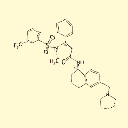 CN([C@H](CC(=O)N[C@@H]1CCCc2cc(CN3CCCCC3)ccc21)c1ccccc1)S(=O)(=O)c1cccc(C(F)(F)F)c1